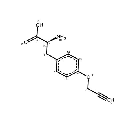 C#CCOc1ccc(C[C@H](N)C(=O)O)cc1